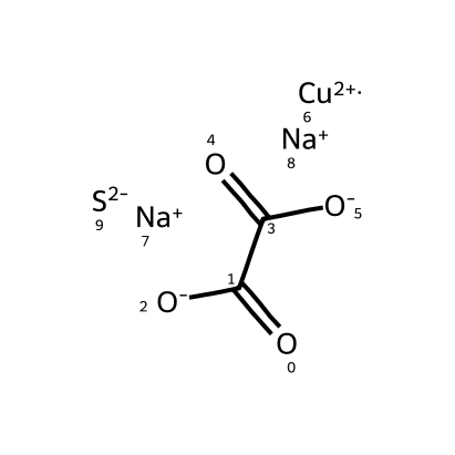 O=C([O-])C(=O)[O-].[Cu+2].[Na+].[Na+].[S-2]